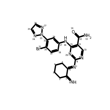 N=C1CCCC/C1=N\c1ncc(C(N)=O)c(Nc2ccc(Br)c(-n3nccn3)c2)n1